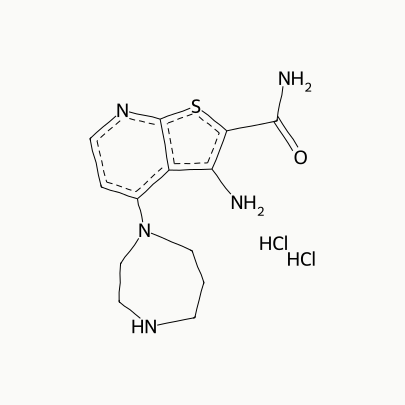 Cl.Cl.NC(=O)c1sc2nccc(N3CCCNCC3)c2c1N